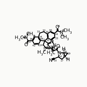 Cc1nnc(C2(C[C@@H](C)NCC(=O)N3C(C#N)C[C@@H]4C[C@@H]43)c3ccc(C(=O)N(C)C)cc3CCc3cc(C(=O)N(C)C)ccc32)o1